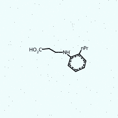 CCCc1ccccc1NCCC(=O)O